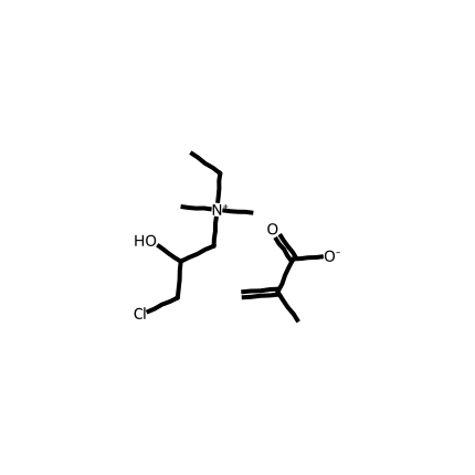 C=C(C)C(=O)[O-].CC[N+](C)(C)CC(O)CCl